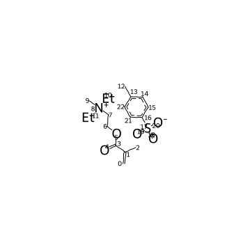 C=C(C)C(=O)OCC[N+](C)(CC)CC.Cc1ccc(S(=O)(=O)[O-])cc1